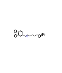 CC(C)OCCCC/C=C/c1ccc2c(c1)OCO2